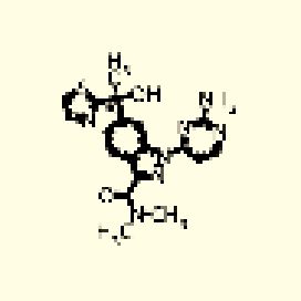 CN(C)C(=O)c1nn(-c2ccnc(N)n2)c2cc([C@@](C)(O)c3nccs3)ccc12